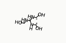 OCNC(NCO)NCO